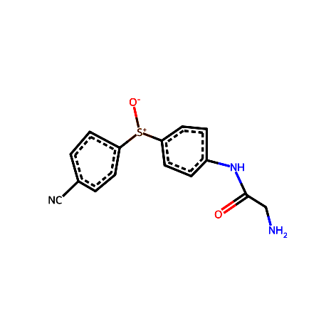 N#Cc1ccc([S+]([O-])c2ccc(NC(=O)CN)cc2)cc1